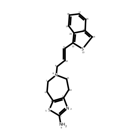 Nc1nc2c(s1)CCN(CC=Cc1scc3ccccc13)CC2